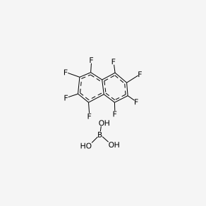 Fc1c(F)c(F)c2c(F)c(F)c(F)c(F)c2c1F.OB(O)O